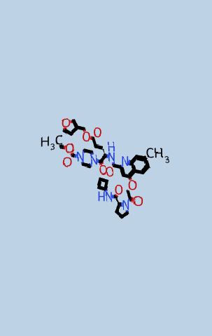 CCOC(=O)N1CCN(C(=O)[C@H](CCC(=O)OCC2CCOC2)NC(=O)c2cc(OCC(=O)N3CCC[C@H]3C(=O)NC3CCC3)c3ccc(C)cc3n2)CC1